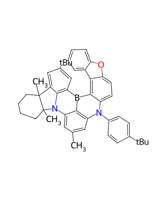 Cc1cc2c3c(c1)N1c4c(cc(C(C)(C)C)cc4C4(C)CCCCC14C)B3c1c(ccc3oc4ccccc4c13)N2c1ccc(C(C)(C)C)cc1